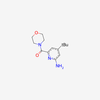 CC(C)(C)c1cc(N)nc(C(=O)N2CCOCC2)c1